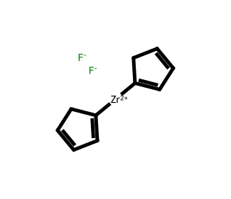 C1=CC[C]([Zr+2][C]2=CC=CC2)=C1.[F-].[F-]